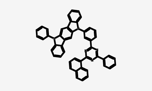 c1ccc(-c2nc(-c3cccc(-n4c5ccccc5c5cc6c(cc54)c4ccccc4n6-c4ccccc4)c3)nc(-c3cccc4ccccc34)n2)cc1